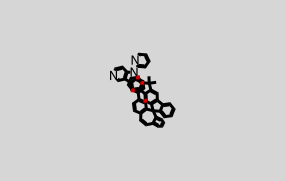 CC1(C)c2ccccc2-c2cc3c(cc21)-c1ccccc1C31c2ccccc2C=Cc2ccc(-c3ccc4c(c3)c3cnccc3n4-c3ccccn3)cc21